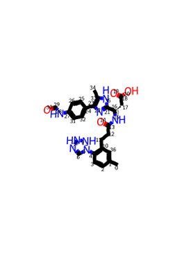 Cc1ccc(N2C=NNN2)c(CCC(=O)N[C@@H](CC(=O)O)c2nc(-c3ccc(NC=O)cc3)c(C)[nH]2)c1